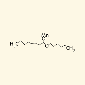 CCCCCCCC(=O)OCCCCCC.[Mn]